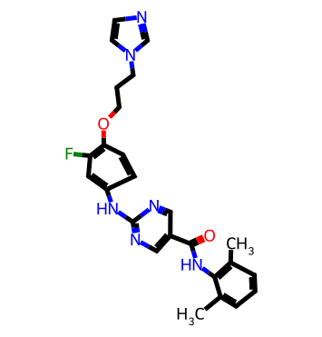 Cc1cccc(C)c1NC(=O)c1cnc(Nc2ccc(OCCCn3ccnc3)c(F)c2)nc1